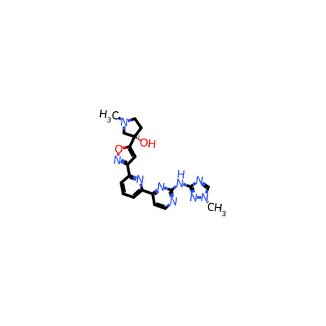 CN1CC[C@@](O)(c2cc(-c3cccc(-c4ccnc(Nc5ncn(C)n5)n4)n3)no2)C1